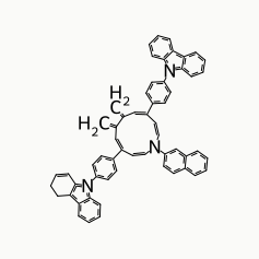 C=C1/C=C(c2ccc(-n3c4c(c5ccccc53)CCC=C4)cc2)\C=C/N(c2ccc3ccccc3c2)/C=C\C(c2ccc(-n3c4ccccc4c4ccccc43)cc2)=C/C1=C